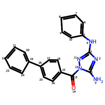 Nc1nc(Nc2ccccc2)nn1C(=O)c1ccc(-c2ccccc2)cc1